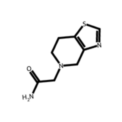 NC(=O)CN1CCc2scnc2C1